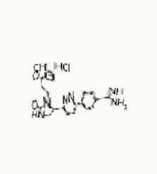 COC(=O)CCN1C(=O)NCC1c1ccc(-c2ccc(C(=N)N)cc2)nn1.Cl